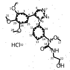 COc1cc(-c2cnnn2-c2cccc(N(OC)C(=O)NCCO)c2)cc(OC)c1OC.Cl